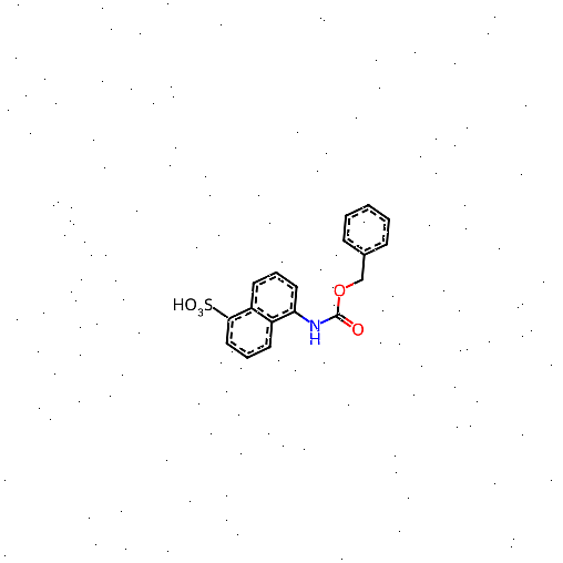 O=C(Nc1cccc2c(S(=O)(=O)O)cccc12)OCc1ccccc1